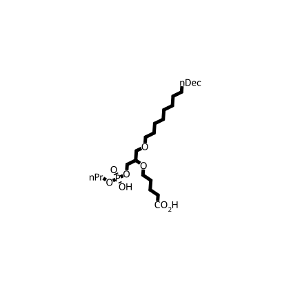 CCCCCCCCCCCCCCCCCCOCC(COP(=O)(O)OCCC)OCCCCC(=O)O